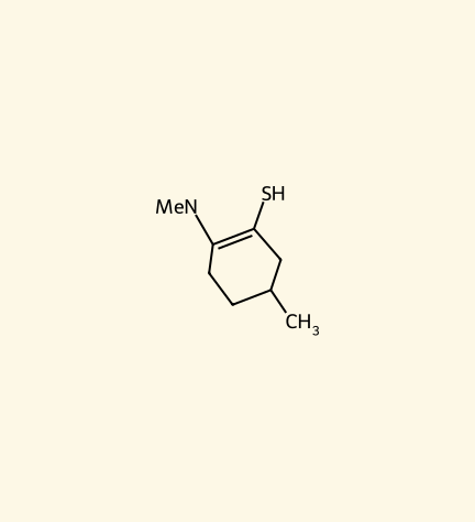 CNC1=C(S)CC(C)CC1